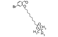 CC(C)(C)OC(=O)CCCCCCCCCOc1cc(Br)ccc1C=O